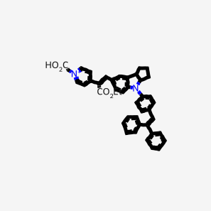 CCOC(=O)/C(=C\c1ccc2c(c1)C1CCCC1N2c1ccc(C=C(c2ccccc2)c2ccccc2)cc1)c1cc[n+](CC(=O)O)cc1